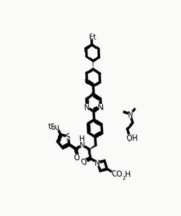 CCC1CCC([C@H]2CC=C(c3cnc(-c4ccc(C[C@H](NC(=O)c5ccc(C(C)(C)C)s5)C(=O)N5CC(C(=O)O)C5)cc4)nc3)CC2)CC1.CN(C)CCO